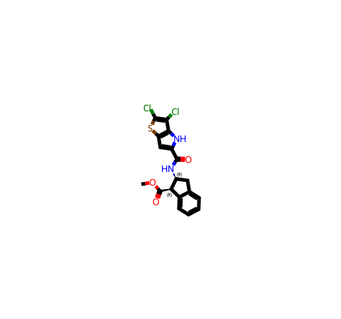 COC(=O)[C@@H]1c2ccccc2C[C@H]1NC(=O)c1cc2sc(Cl)c(Cl)c2[nH]1